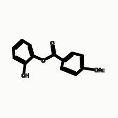 CC(=O)Oc1ccc(C(=O)Oc2ccccc2O)cc1